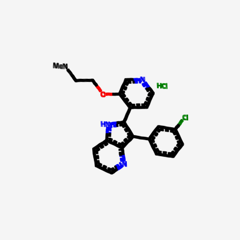 CNCCOc1cnccc1-c1[nH]c2cccnc2c1-c1cccc(Cl)c1.Cl